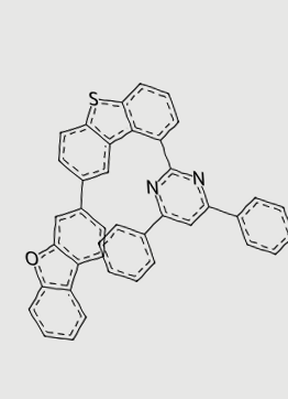 c1ccc(-c2cc(-c3ccccc3)nc(-c3cccc4sc5ccc(-c6ccc7c(c6)oc6ccccc67)cc5c34)n2)cc1